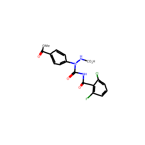 COC(=O)c1ccc(N(NC(=O)O)C(=O)NC(=O)c2c(F)cccc2Cl)cc1